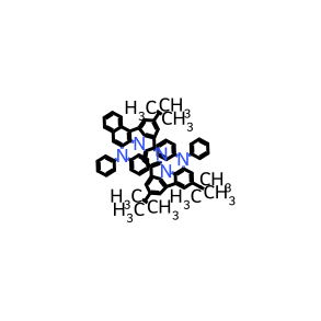 CC(C)(C)c1cc(N(c2ccccc2)c2ccccc2)c2c(c1)c1cc(C(C)(C)C)cc3c4cc5c(nc4n2c31)c1cc(C(C)(C)C)cc2c3c4ccccc4cc(N(c4ccccc4)c4ccccc4)c3n5c12